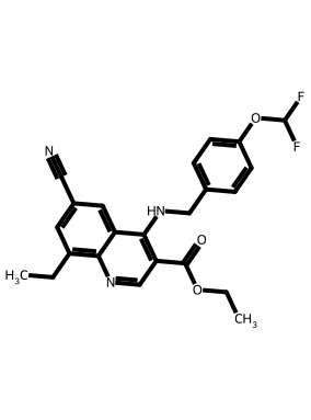 CCOC(=O)c1cnc2c(CC)cc(C#N)cc2c1NCc1ccc(OC(F)F)cc1